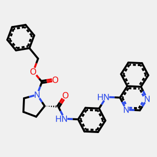 O=C(Nc1cccc(Nc2ncnc3ccccc23)c1)[C@@H]1CCCN1C(=O)OCc1ccccc1